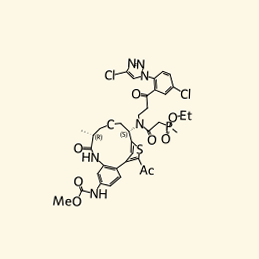 CCOP(C)(=O)CC(=O)N(CCC(=O)c1cc(Cl)ccc1-n1cc(Cl)nn1)[C@H]1CCC[C@@H](C)C(=O)Nc2cc(NC(=O)OC)ccc2-c2cc1sc2C(C)=O